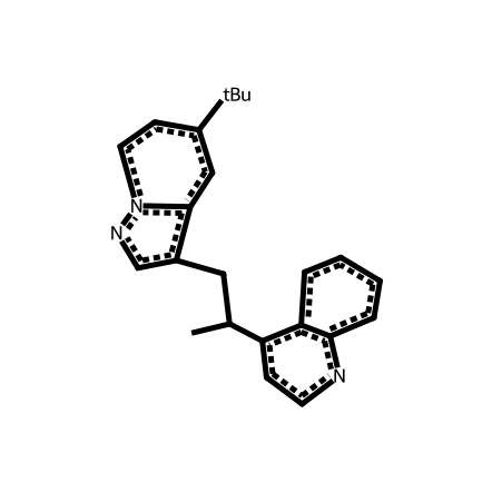 CC(Cc1cnn2ccc(C(C)(C)C)cc12)c1ccnc2ccccc12